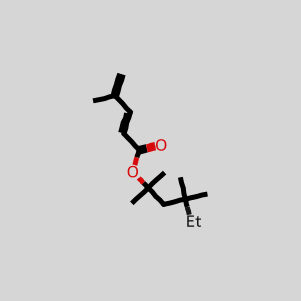 C=C(C)C=CC(=O)OC(C)(C)CC(C)(C)CC